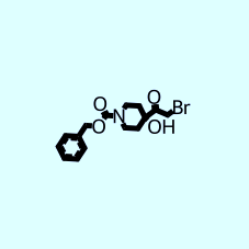 O=C(OCc1ccccc1)N1CCC(O)(C(=O)CBr)CC1